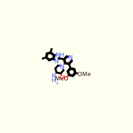 COc1cc(OC)cc(-c2cncc(-c3nc4cc(C)cc(C)c4[nH]3)c2N2CC[C@H](N)[C@H](O)C2)c1